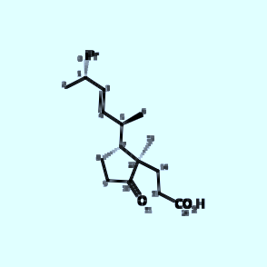 CC(C)[C@@H](C)/C=C/[C@@H](C)[C@H]1CCC(=O)[C@]1(C)CCC(=O)O